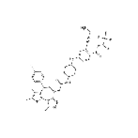 Cc1sc2c(c1C)C(c1ccc(Cl)cc1)=N[C@@H](CC(=O)NC1CCC(Nc3ccc(C(=O)OC(=O)C(F)(F)F)c(C#CCN)c3)CC1)c1nnc(C)n1-2